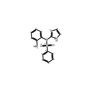 CCCCc1ccccc1N(c1ncc[nH]1)S(=O)(=O)c1ccccc1